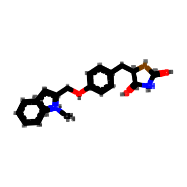 Cn1c(COc2ccc(CC3SC(=O)NC3=O)cc2)cc2ccccc21